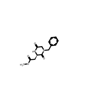 COC(=O)C[C@H]1NC(=O)CN(Cc2ccccc2)C1=O